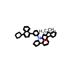 CC1(C)c2ccccc2-c2ccc(N(c3cccc(-c4ccc(C5CCCCC5)c5ccccc45)c3)c3ccccc3-c3ccccc3)cc21